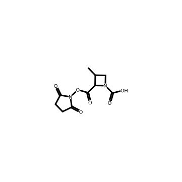 CC1CN(C(=O)O)C1C(=O)ON1C(=O)CCC1=O